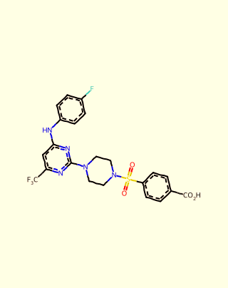 O=C(O)c1ccc(S(=O)(=O)N2CCN(c3nc(Nc4ccc(F)cc4)cc(C(F)(F)F)n3)CC2)cc1